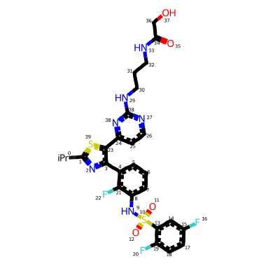 CC(C)c1nc(-c2cccc(NS(=O)(=O)c3cc(F)ccc3F)c2F)c(-c2ccnc(NCCCNC(=O)CO)n2)s1